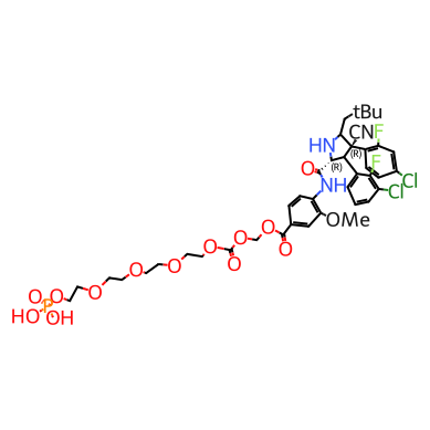 COc1cc(C(=O)OCOC(=O)OCCOCCOCCOCCOP(=O)(O)O)ccc1NC(=O)[C@@H]1NC(CC(C)(C)C)[C@](C#N)(c2ccc(Cl)cc2F)C1c1cccc(Cl)c1F